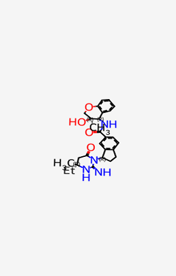 CC[C@]1(C)CC(=O)N([C@@H]2CCc3ccc(C(=O)N[C@@H]4c5ccccc5OC[C@]4(C)O)cc32)C(=N)N1